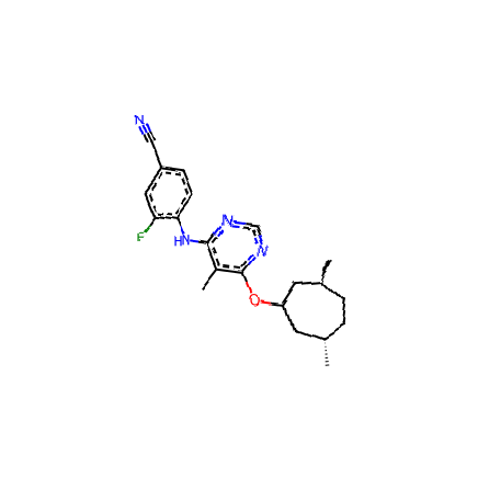 Cc1c(Nc2ccc(C#N)cc2F)ncnc1OC1C[C@@H](C)CC[C@H](C)C1